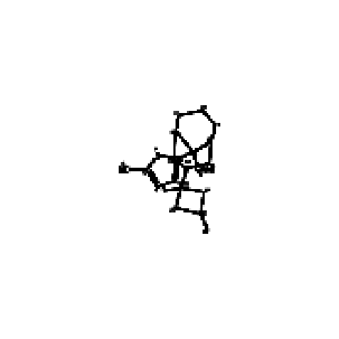 COC1(c2ccc(C#N)s2)C2CCCC1CN(C1(C)CC(C)C1)C2